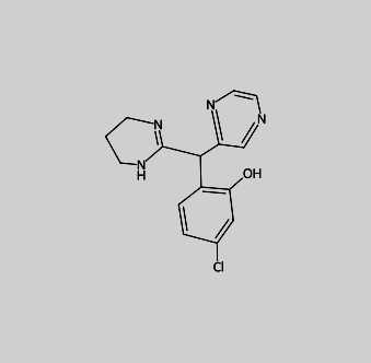 Oc1cc(Cl)ccc1C(C1=NCCCN1)c1cnccn1